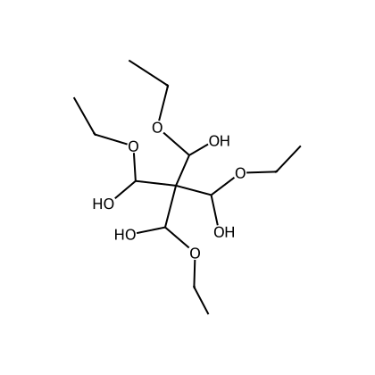 CCOC(O)C(C(O)OCC)(C(O)OCC)C(O)OCC